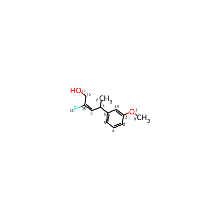 COc1cccc(C(C)/C=C(/F)CO)c1